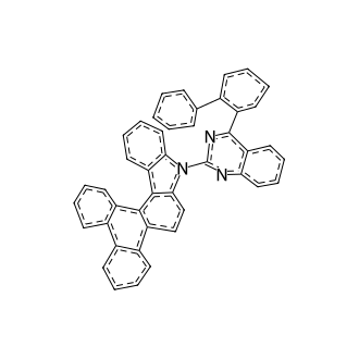 c1ccc(-c2ccccc2-c2nc(-n3c4ccccc4c4c5c6ccccc6c6ccccc6c5ccc43)nc3ccccc23)cc1